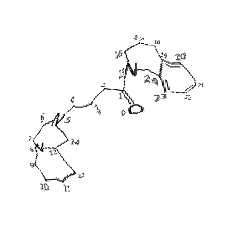 O=C(CCCN1CCN2CCCCC2C1)N1CCCc2ccccc21